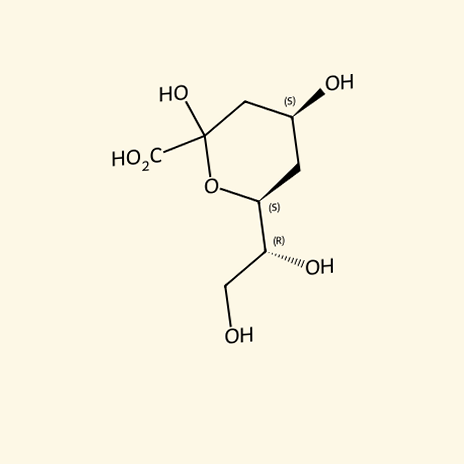 O=C(O)C1(O)C[C@@H](O)C[C@@H]([C@H](O)CO)O1